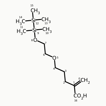 C=C(CCCOCCO[Si](C)(C)[Si](C)(C)C)C(=O)O